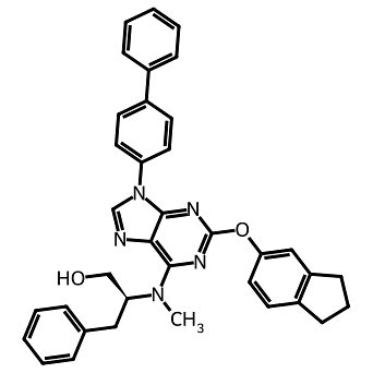 CN(c1nc(Oc2ccc3c(c2)CCC3)nc2c1ncn2-c1ccc(-c2ccccc2)cc1)[C@H](CO)Cc1ccccc1